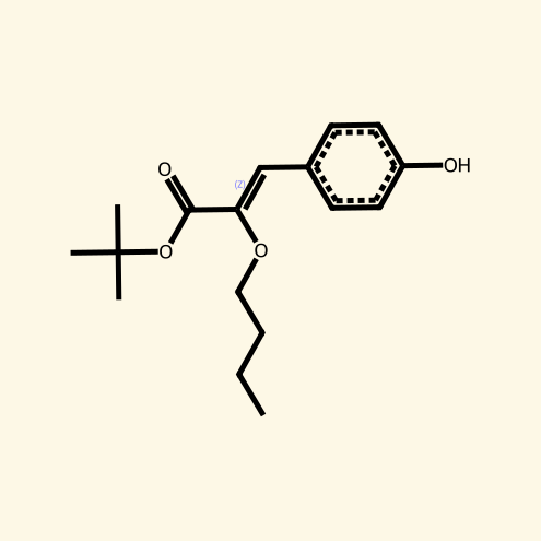 CCCCO/C(=C\c1ccc(O)cc1)C(=O)OC(C)(C)C